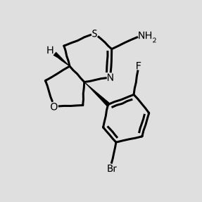 NC1=N[C@]2(c3cc(Br)ccc3F)COC[C@@H]2CS1